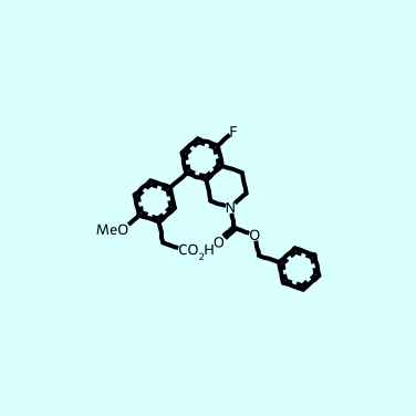 COc1ccc(-c2ccc(F)c3c2CN(C(=O)OCc2ccccc2)CC3)cc1CC(=O)O